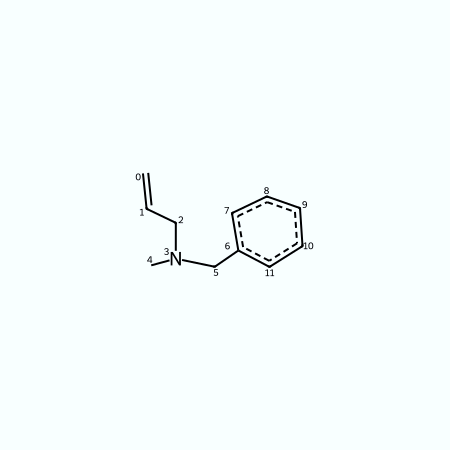 C=CCN(C)Cc1ccccc1